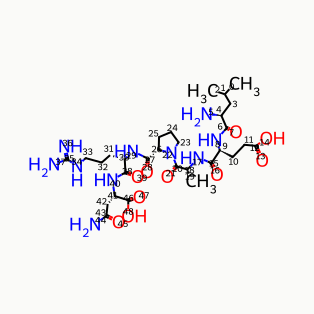 CC(C)C[C@H](N)C(=O)N[C@@H](CCC(=O)O)C(=O)N[C@@H](C)C(=O)N1CCC[C@H]1C(=O)N[C@@H](CCCNC(=N)N)C(=O)N[C@@H](CC(N)=O)C(=O)O